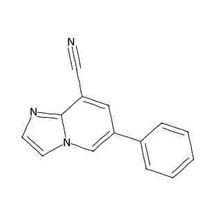 N#Cc1cc(-c2ccccc2)cn2ccnc12